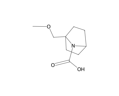 COCC12CCC(CC1)N2C(=O)O